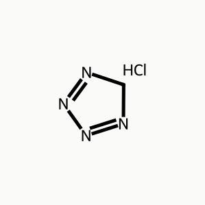 C1N=NN=N1.Cl